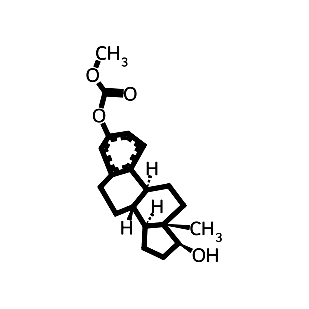 COC(=O)Oc1ccc2c(c1)CC[C@@H]1[C@@H]2CC[C@]2(C)[C@@H](O)CC[C@@H]12